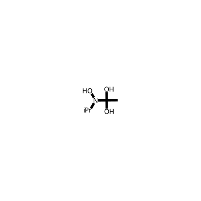 CC(C)N(O)C(C)(O)O